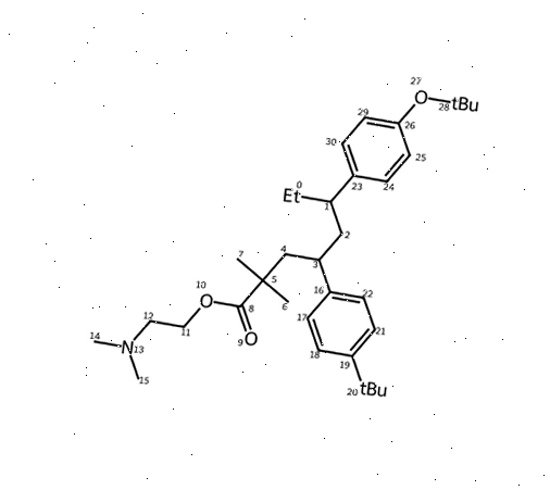 CCC(CC(CC(C)(C)C(=O)OCCN(C)C)c1ccc(C(C)(C)C)cc1)c1ccc(OC(C)(C)C)cc1